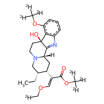 [2H]CO/C=C(/C(=O)OC([2H])([2H])[2H])[C@H]1C[C@H]2C3=Nc4cccc(OC([2H])([2H])[2H])c4[C@@]3(O)CCN2C[C@H]1CC